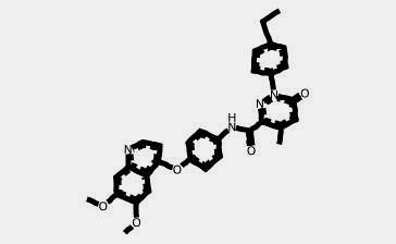 CCc1ccc(-n2nc(C(=O)Nc3ccc(Oc4ccnc5cc(OC)c(OC)cc45)cc3)c(C)cc2=O)cc1